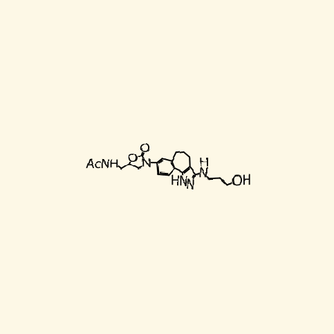 CC(=O)NCC1CN(c2ccc3c(c2)CCCc2c(NCCCO)n[nH]c2-3)C(=O)O1